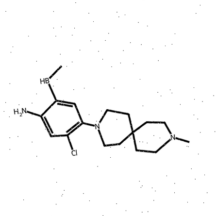 CBc1cc(N2CCC3(CCN(C)CC3)CC2)c(Cl)cc1N